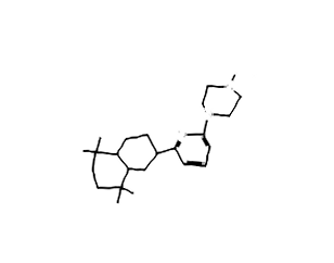 CC1(C)CCC(C)(C)C2CC(c3cccc(N4CCN(C(=O)O)CC4)n3)CCC21